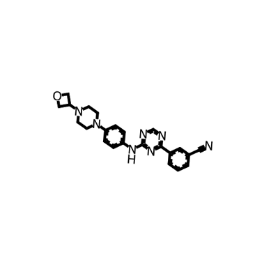 N#Cc1cccc(-c2ncnc(Nc3ccc(N4CCN(C5COC5)CC4)cc3)n2)c1